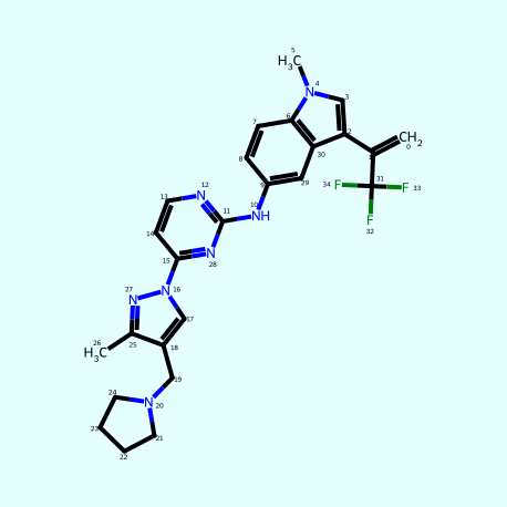 C=C(c1cn(C)c2ccc(Nc3nccc(-n4cc(CN5CCCC5)c(C)n4)n3)cc12)C(F)(F)F